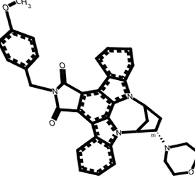 COc1ccc(CN2C(=O)c3c(c4c5ccccc5n5c4c4c3c3ccccc3n4C3CC5[C@@H](N4CCOCC4)C3)C2=O)cc1